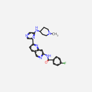 CN1CCC(Nc2cncc(-c3ccc4cnc(NC(=O)c5ccc(F)cc5)cc4n3)n2)CC1